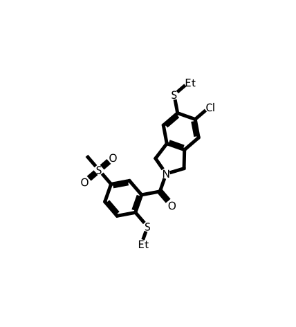 CCSc1cc2c(cc1Cl)CN(C(=O)c1cc(S(C)(=O)=O)ccc1SCC)C2